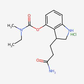 CCN(C)C(=O)Oc1cccc2c1C(CCC(N)=O)CN2.Cl